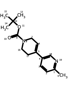 Cc1ccc(C2=CCN(C(=O)OC(C)(C)C)CC2)cn1